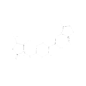 O=C(ON1C(=O)CCC1=O)C1CCC(CN2C(=O)CC(O)C2=O)CC1